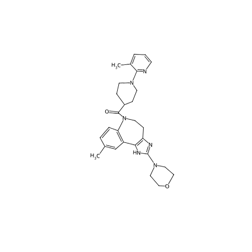 Cc1ccc2c(c1)-c1[nH]c(N3CCOCC3)nc1CCN2C(=O)C1CCN(c2ncccc2C)CC1